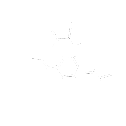 C=C(C)C(=O)OC.C=CC=C.CC=Cc1ccccc1